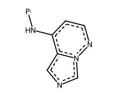 [P]Nc1ccnn2cncc12